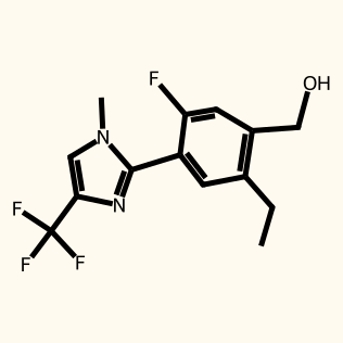 CCc1cc(-c2nc(C(F)(F)F)cn2C)c(F)cc1CO